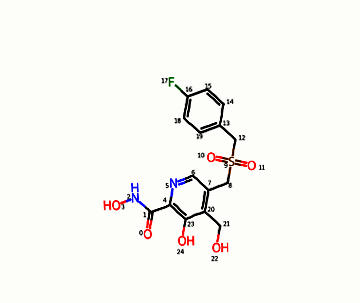 O=C(NO)c1ncc(CS(=O)(=O)Cc2ccc(F)cc2)c(CO)c1O